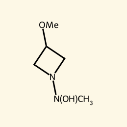 COC1CN(N(C)O)C1